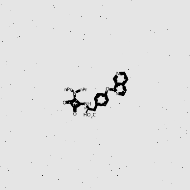 CCCN(CCC)c1c(N[C@@H](Cc2ccc(Oc3nccc4ccncc34)cc2)C(=O)O)c(=O)c1=O